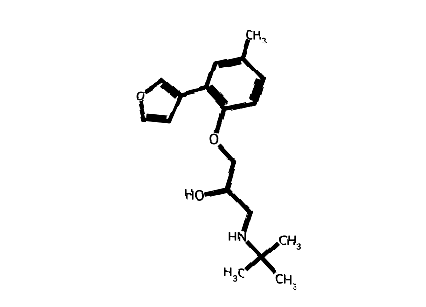 Cc1ccc(OCC(O)CNC(C)(C)C)c(-c2ccoc2)c1